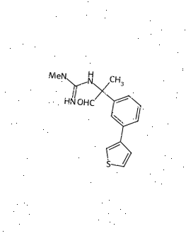 CNC(=N)NC(C)(C=O)c1cccc(-c2ccsc2)c1